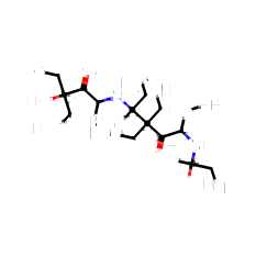 BBC(NC(C)(O)CC)C(=O)C(CC)(CC)C(C)(CC)NC(B)C(=O)C(O)(CC)CC